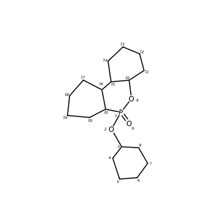 O=P1(OC2CCCCC2)OC2CCCCC2C2CCCCC21